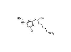 CCCCC(CCCCCN)Oc1nc(Cl)nc(BCS)n1